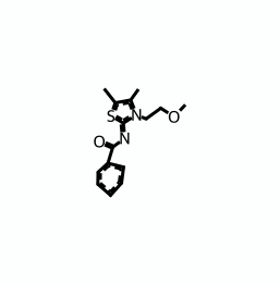 COCCn1c(C)c(C)sc1=NC(=O)c1ccccc1